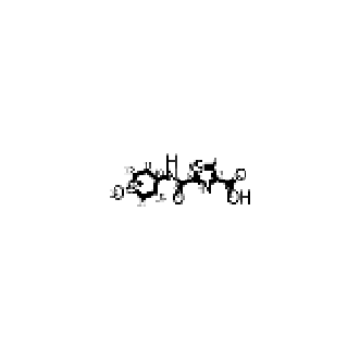 O=C(O)c1csc(C(=O)NC2CC[S+]([O-])CC2)n1